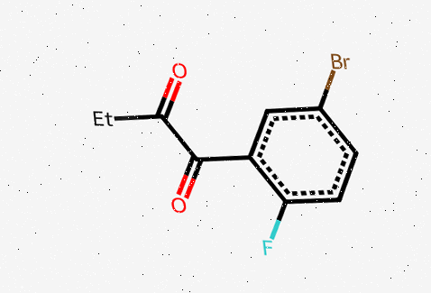 CCC(=O)C(=O)c1cc(Br)ccc1F